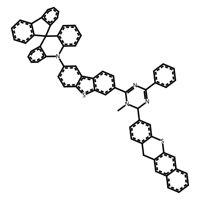 CN1C(c2ccc3c(c2)sc2ccc(N4c5ccccc5C5(c6ccccc6-c6ccccc65)c5ccccc54)cc23)=NC(c2ccccc2)=NC1c1ccc2c(c1)Sc1cc3ccccc3cc1C2